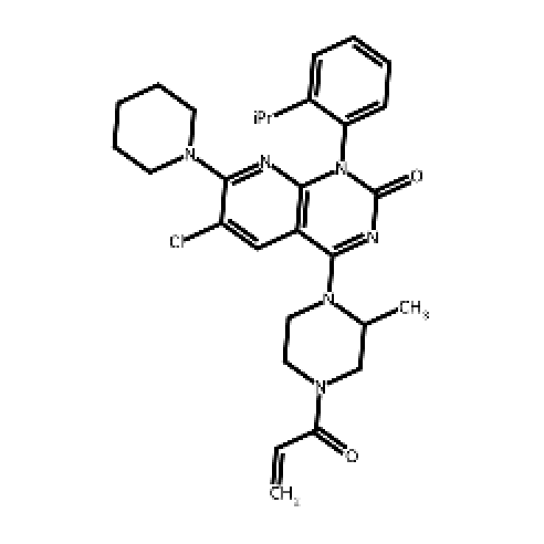 C=CC(=O)N1CCN(c2nc(=O)n(-c3ccccc3C(C)C)c3nc(N4CCCCC4)c(Cl)cc23)C(C)C1